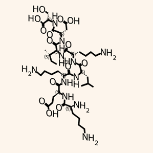 CC[C@H](C)[C@H](NC(=O)[C@H](CCCCN)NC(=O)[C@H](CC(C)C)NC(=O)[C@H](CCCCN)NC(=O)[C@H](CCC(=O)O)NC(=O)[C@@H](N)CCCCN)C(=O)N[C@@H](CC(=O)O)C(=O)N[C@@H](CO)C(=O)O